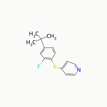 CC(C)(C)c1ccc(Sc2ccncc2)c(F)c1